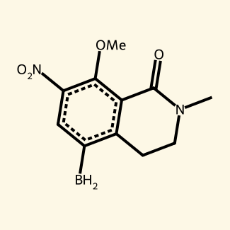 Bc1cc([N+](=O)[O-])c(OC)c2c1CCN(C)C2=O